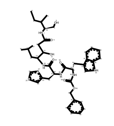 CCC(C)[C@@H](CO)NC(=O)CC(O)C(CC(C)C)NC(=O)[C@H](Cc1cscn1)NC(=O)[C@H](Cc1c[nH]c2ccccc12)NC(=O)OCc1ccccc1